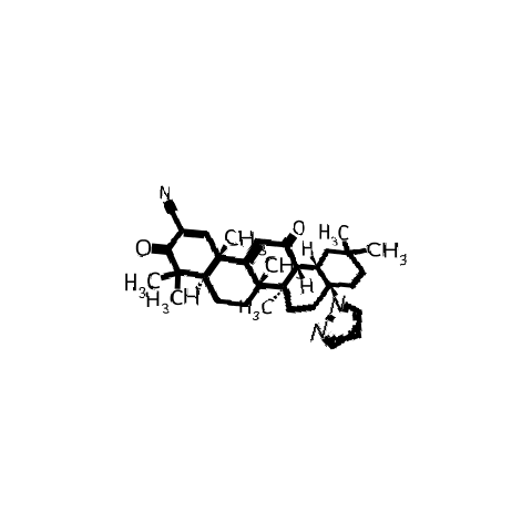 CC1(C)CC[C@]2(n3cccn3)CC[C@]3(C)[C@H](C(=O)C=C4[C@@]5(C)C=C(C#N)C(=O)C(C)(C)[C@@H]5CC[C@]43C)[C@@H]2C1